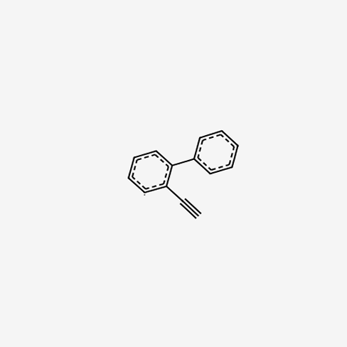 C#Cc1[c]cccc1-c1ccccc1